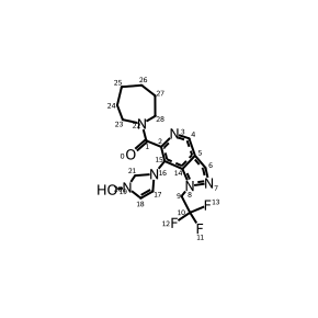 O=C(c1ncc2cnn(CC(F)(F)F)c2c1N1C=CN(O)C1)N1CCCCCC1